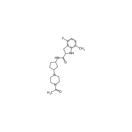 CC(=O)N1CCN(C2CCC(NC(=O)C3Cc4c(F)ccc(C)c4N3)C2)CC1